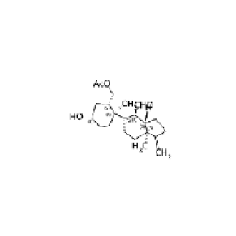 C=C1CC[C@H]2[C@H](C=O)[C@@H]([C@@]3(C)CC[C@H](O)C[C@@H]3COC(C)=O)CC[C@]12C